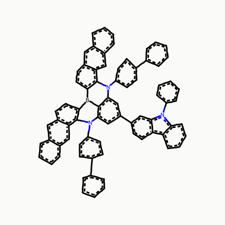 c1ccc(-c2ccc(N3c4cc(-c5ccc6c7ccccc7n(-c7ccccc7)c6c5)cc5c4B(c4ccc6cc7ccccc7cc6c43)c3ccc4cc6ccccc6cc4c3N5c3ccc(-c4ccccc4)cc3)cc2)cc1